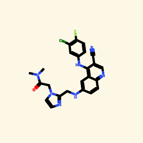 CN(C)C(=O)Cn1ccnc1CNc1ccc2ncc(C#N)c(Nc3ccc(F)c(Cl)c3)c2c1